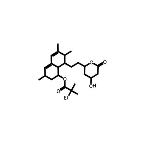 CCC(C)(C)C(=O)OC1CC(C)C=C2C=C(C)C(C)C(CCC3CC(O)CC(=O)O3)C21